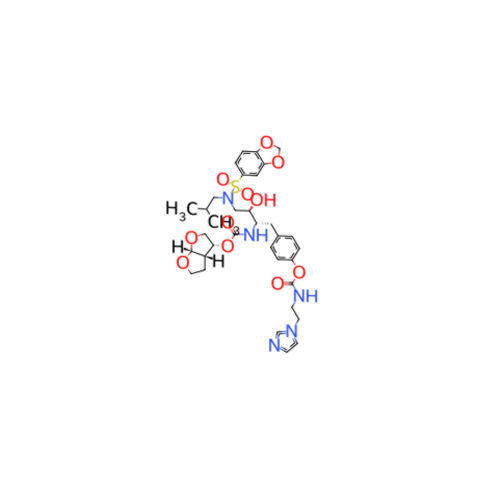 CC(C)CN(C[C@@H](O)[C@H](Cc1ccc(OC(=O)NCCn2ccnc2)cc1)NC(=O)O[C@H]1CO[C@H]2OCC[C@H]21)S(=O)(=O)c1ccc2c(c1)OCO2